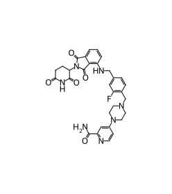 NC(=O)c1cc(N2CCN(Cc3ccc(CNc4cccc5c4C(=O)N(C4CCC(=O)NC4=O)C5=O)cc3F)CC2)ccn1